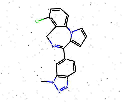 Cn1nnc2ccc(C3=NCc4c(Cl)cccc4-n4cccc43)cc21